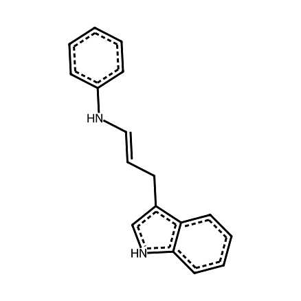 C(=C\Nc1ccccc1)/Cc1c[nH]c2ccccc12